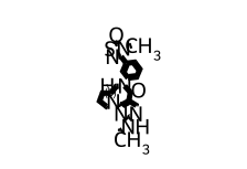 CCNc1ncc2c(n1)N1CCC[C@H]1CN(c1cccc(-c3nsc(=O)n3C)c1)C2=O